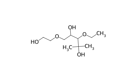 CCOC(C(O)COCCO)C(C)(C)O